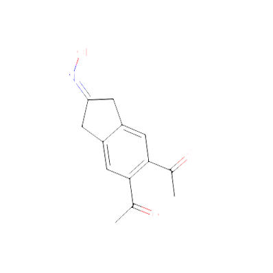 CC(=O)c1cc2c(cc1C(C)=O)CC(=NO)C2